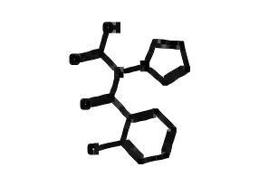 O=C(O)N(C(=O)c1ccccc1Cl)n1cccc1